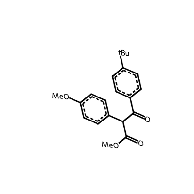 COC(=O)C(C(=O)c1ccc(C(C)(C)C)cc1)c1ccc(OC)cc1